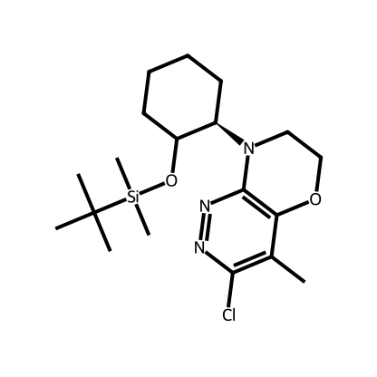 Cc1c(Cl)nnc2c1OCCN2[C@@H]1CCCCC1O[Si](C)(C)C(C)(C)C